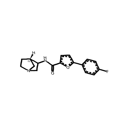 O=C(NC1CN2CC[C@H]1C2)c1ccc(-c2ccc(F)cc2)o1